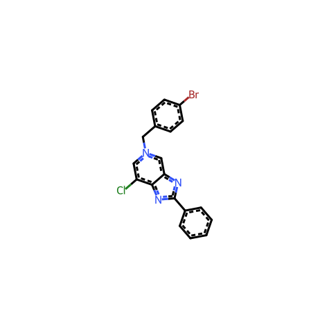 Clc1cn(Cc2ccc(Br)cc2)cc2nc(-c3ccccc3)nc1-2